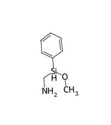 CO[SiH](CN)c1ccccc1